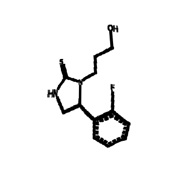 OCCCN1C(=S)NCC1c1ccccc1F